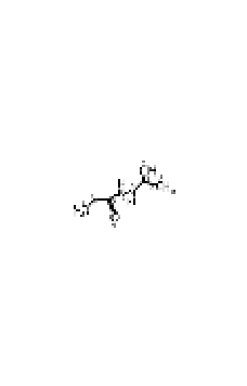 CC(C)NNC(=O)CO